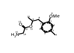 COc1cc(C)ccc1CC(C)OC(=O)CN